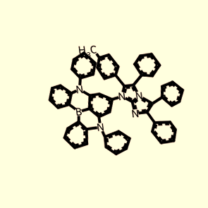 Cc1ccc(-c2c(-c3ccccc3)n3c(-c4ccccc4)c(-c4ccccc4)nc3n2-c2cc3c4c(c2)N(c2ccccc2)c2ccccc2B4c2ccccc2N3c2ccccc2)cc1